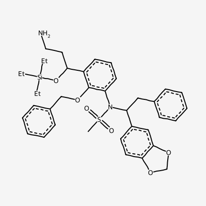 CC[Si](CC)(CC)OC(CCN)c1cccc(N(C(Cc2ccccc2)c2ccc3c(c2)OCO3)S(C)(=O)=O)c1OCc1ccccc1